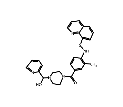 Cc1cc(C(=O)N2CCN(C(O)c3ccccn3)CC2)ccc1NSc1cccc2cccnc12